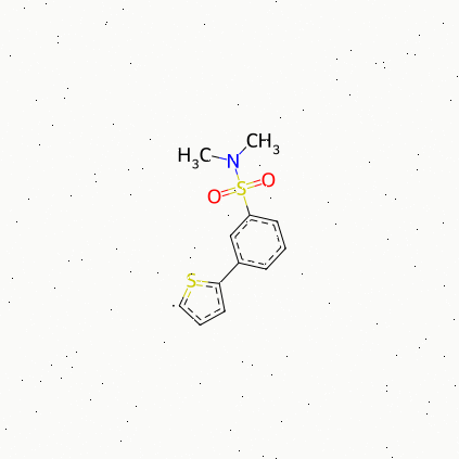 CN(C)S(=O)(=O)c1cccc(-c2cc[c]s2)c1